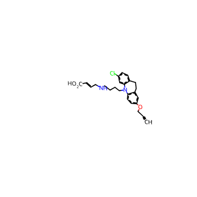 C#CCOc1ccc2c(c1)CCc1ccc(Cl)cc1N2CCCCNCC=CC(=O)O